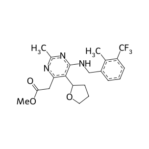 COC(=O)Cc1nc(C)nc(NCc2cccc(C(F)(F)F)c2C)c1C1CCCO1